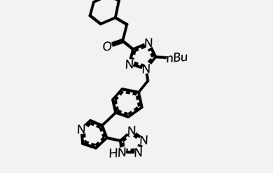 CCCCc1nc(C(=O)CC2CCCCC2)nn1Cc1ccc(-c2cnccc2-c2nnn[nH]2)cc1